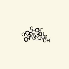 Cc1cc(C(=O)c2c(NC(=O)C3CCN(C(=O)O)CC3)sc3c2ccc(=O)n3-c2ccccc2F)ccc1F